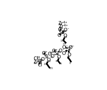 CCO[Si]([O-])([O-])[O-].CCO[Si]([O-])([O-])[O-].CCO[Si]([O-])([O-])[O-].CCO[Si]([O-])([O-])[O-].ClOCl.[Zr+4].[Zr+4].[Zr+4]